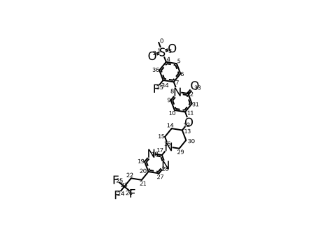 CS(=O)(=O)c1ccc(-n2ccc(OC3CCN(c4ncc(CCC(F)(F)F)cn4)CC3)cc2=O)c(F)c1